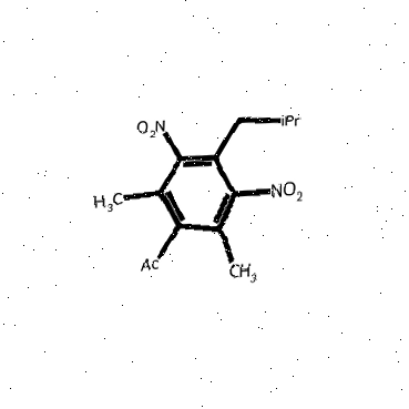 CC(=O)c1c(C)c([N+](=O)[O-])c(CC(C)C)c([N+](=O)[O-])c1C